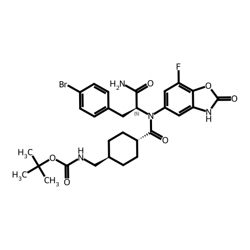 CC(C)(C)OC(=O)NC[C@H]1CC[C@H](C(=O)N(c2cc(F)c3oc(=O)[nH]c3c2)[C@@H](Cc2ccc(Br)cc2)C(N)=O)CC1